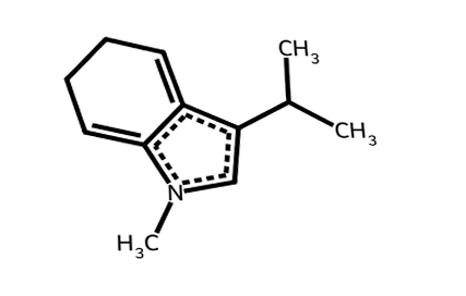 CC(C)c1cn(C)c2c1=CCCC=2